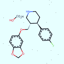 Fc1ccc([C@@H]2CCNC[C@H]2COc2ccc3c(c2)OCO3)cc1.O=C(O)O